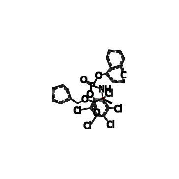 C[C@H](NP(=O)(Oc1c(Cl)c(Cl)c(Cl)c(Cl)c1Cl)Oc1cccc2ccccc12)C(=O)OCc1ccccc1